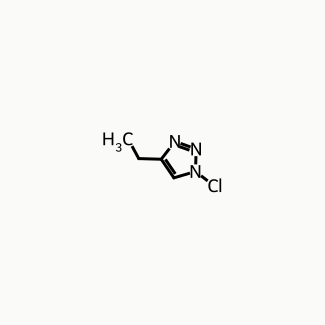 CCc1cn(Cl)nn1